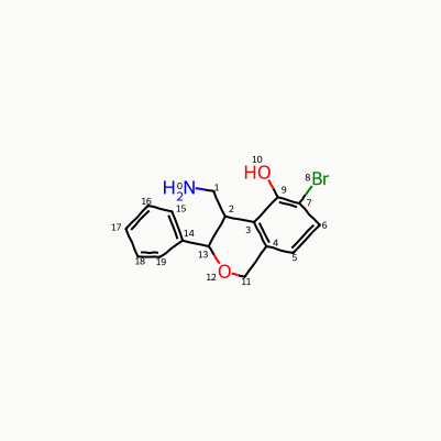 NCC1c2c(ccc(Br)c2O)COC1c1ccccc1